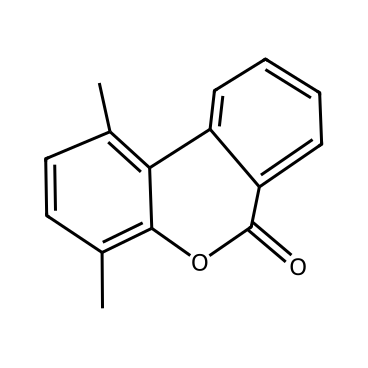 Cc1ccc(C)c2c1oc(=O)c1ccccc12